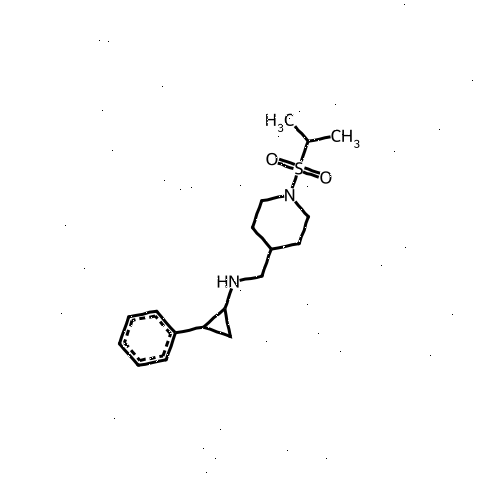 CC(C)S(=O)(=O)N1CCC(CNC2CC2c2ccccc2)CC1